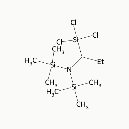 CCC(N([Si](C)(C)C)[Si](C)(C)C)[Si](Cl)(Cl)Cl